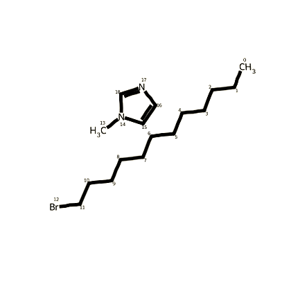 CCCCCCCCCCCCBr.Cn1ccnc1